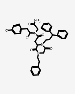 NC(=O)CN(C(=O)CC1C(=O)N(CCc2ccccc2)CC(=O)N1CCC(c1ccccc1)c1ccccc1)C(Cl)Cc1ccc(Cl)cc1